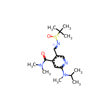 CC(C)N(C)c1cc(C(=O)N(C)C)c(/C=N/[S+]([O-])C(C)(C)C)cn1